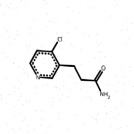 NC(=O)CCc1cnccc1Cl